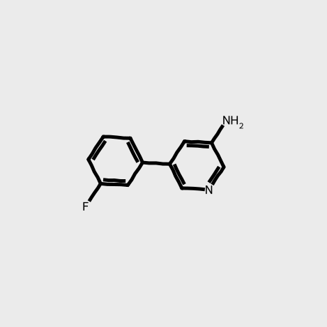 Nc1cncc(-c2cccc(F)c2)c1